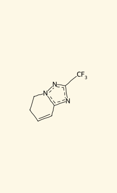 FC(F)(F)c1nc2n(n1)CCC=C2